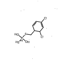 O[PH](O)(S)SCC1C=CC(Cl)=CC1Cl